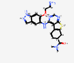 CN(C)C(=O)[C@H]1CCc2c(sc3ncnc(Nc4cc5cn[nH]c5cc4OCCN)c23)C1